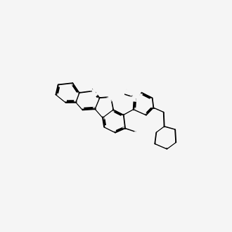 Cc1ccc2c(oc3nc4ccccc4cc32)c1-c1cc(CC2CCCCC2)cc[n+]1C